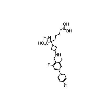 NC(CCCCB(O)O)(C(=O)O)C1CC(NCc2c(F)cc(-c3ccc(Cl)cc3)cc2F)C1